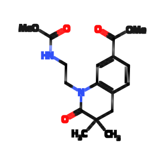 COC(=O)NCCN1C(=O)C(C)(C)Cc2ccc(C(=O)OC)cc21